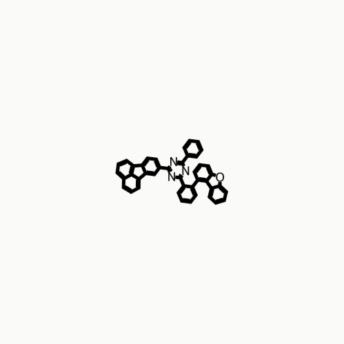 c1ccc(-c2nc(-c3ccc4c(c3)-c3cccc5cccc-4c35)nc(-c3ccccc3-c3cccc4oc5ccccc5c34)n2)cc1